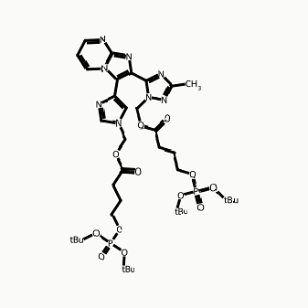 Cc1nc(-c2nc3ncccn3c2-c2cn(COC(=O)CCCOP(=O)(OC(C)(C)C)OC(C)(C)C)cn2)n(COC(=O)CCCOP(=O)(OC(C)(C)C)OC(C)(C)C)n1